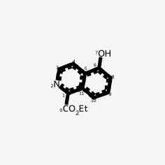 CCOC(=O)c1nccc2c(O)cccc12